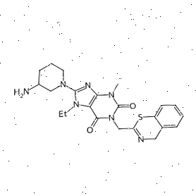 CCn1c(N2CCCC(N)C2)nc2c1c(=O)n(CC1=NCc3ccccc3S1)c(=O)n2C